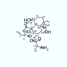 C=C[C@@]1(C)CC(=O)[C@]2(O)[C@@]3(C)[C@@H](O)CCC(C)(C)[C@@H]3[C@H](O)[C@H](OC(=O)C(C)N)[C@@]2(C)O1